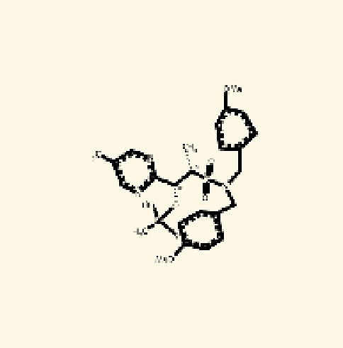 COc1ccc(CN(Cc2ccc(OC)cc2)S(=O)(=O)[C@@H](C)[C@H](O[Si](C)(C)C(C)(C)C)c2ncc(C)cn2)cc1